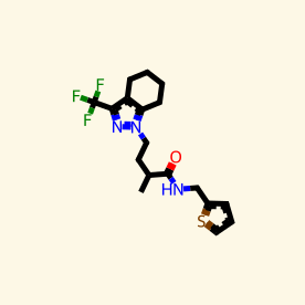 CC(CCn1nc(C(F)(F)F)c2c1CCCC2)C(=O)NCc1cccs1